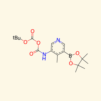 Cc1c(NC(=O)OC(=O)OC(C)(C)C)cncc1B1OC(C)(C)C(C)(C)O1